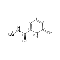 CC(C)(C)NC(=O)c1cccc(=O)[nH]1